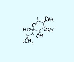 C=CCC1(O)OC[C@@H](O)[C@H](O)[C@@H]1O